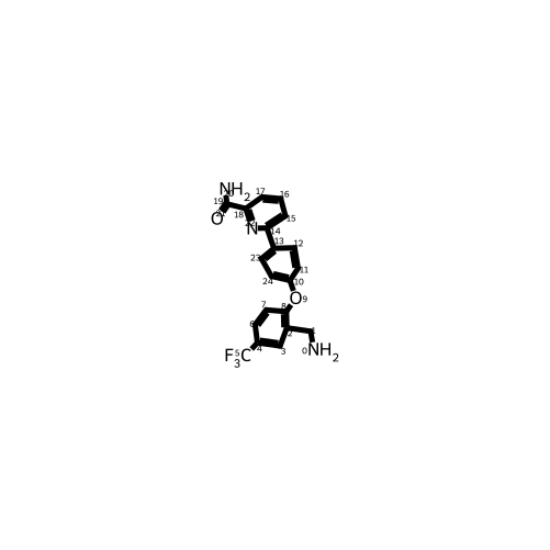 NCc1cc(C(F)(F)F)ccc1Oc1ccc(-c2cccc(C(N)=O)n2)cc1